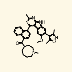 COc1cc2c(cc1-c1c(C)noc1C)[nH]c1nc(C)nc(-c3ccc(C(=O)C4CCCCN(C)CC4)c4ccccc34)c12